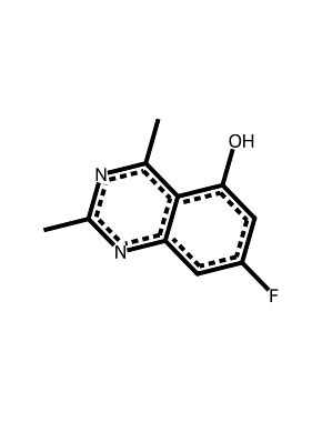 Cc1nc(C)c2c(O)cc(F)cc2n1